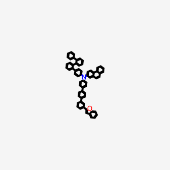 c1ccc(-c2ccccc2-c2ccccc2-c2ccc(N(c3ccc(-c4ccc(-c5cccc(-c6cc7ccccc7o6)c5)cc4)cc3)c3ccc4c(ccc5ccccc54)c3)cc2)cc1